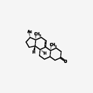 CC(=O)[C@H]1CC[C@H]2[C@@H]3CCC4CC(=O)CC[C@]4(C)C3=CC[C@]12C